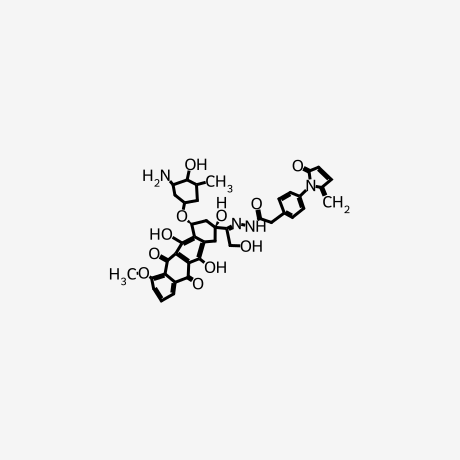 C=C1C=CC(=O)N1c1ccc(CC(=O)N/N=C(\CO)[C@]2(O)Cc3c(O)c4c(c(O)c3[C@@H](OC3CC(C)C(O)C(N)C3)C2)C(=O)c2c(OC)cccc2C4=O)cc1